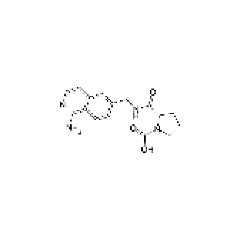 Nc1nccc2cc(CNC(=O)[C@@H]3CCCN3C(=O)O)ccc12